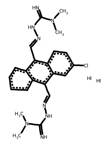 CN(C)C(=N)NN=Cc1c2ccccc2c(C=NNC(=N)N(C)C)c2cc(Cl)ccc12.I.I